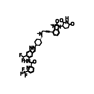 CN(CC#Cc1cccc2c1n(C)c(=O)n2C1CCC(=O)NC1=O)C[C@H]1CC[C@H](n2cc3cc(NC(=O)c4cccc(C(F)(F)F)n4)c(C(F)F)cc3n2)CC1